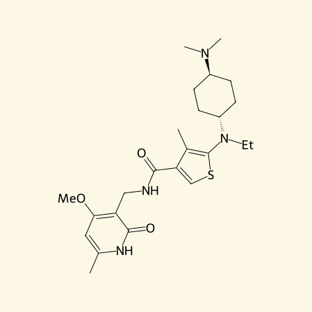 CCN(c1scc(C(=O)NCc2c(OC)cc(C)[nH]c2=O)c1C)[C@H]1CC[C@H](N(C)C)CC1